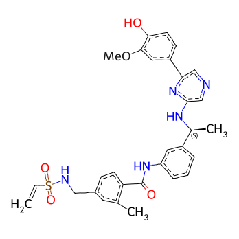 C=CS(=O)(=O)NCc1ccc(C(=O)Nc2cccc([C@H](C)Nc3cncc(-c4ccc(O)c(OC)c4)n3)c2)c(C)c1